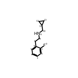 Fc1ccccc1CCNCC1CC1